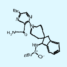 CC(C)(C)[S+]([O-])NC1c2ccccc2CC12CCN(c1ncc(Br)nc1C(N)=O)CC2